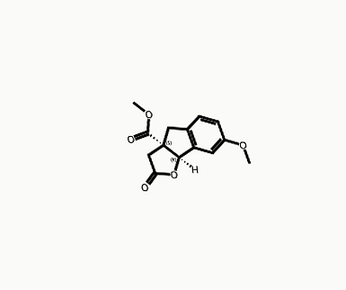 COC(=O)[C@@]12CC(=O)O[C@@H]1c1cc(OC)ccc1C2